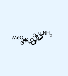 CO[PH](=O)OC[C@@H]1CC[C@H](n2ccc(N)nc2=O)O1